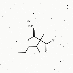 CCCC(C)C(C)(C(=O)[O-])C(=O)[O-].[Na+].[Na+]